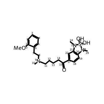 COc1ccccc1CCN(C)CCCCC(=O)c1ccc2c(c1)N(C)S(O)(O)N2C